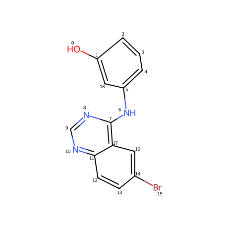 Oc1cccc(Nc2ncnc3ccc(Br)cc23)c1